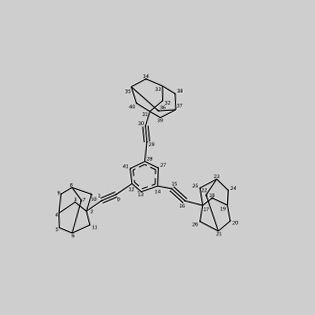 C(#CC12CC3CC(CC(C3)C1)C2)c1[c]c(C#CC23CC4CC(CC(C4)C2)C3)cc(C#CC23CC4CC(CC(C4)C2)C3)c1